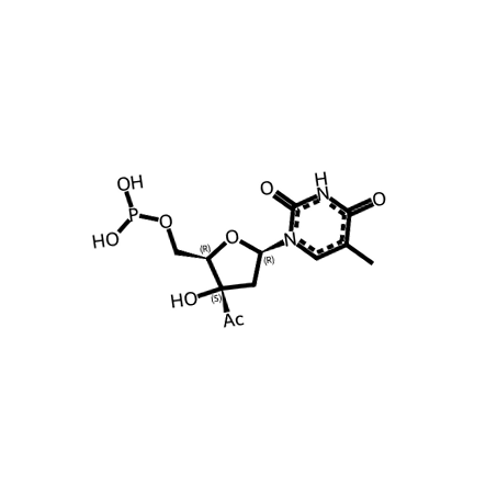 CC(=O)[C@]1(O)C[C@H](n2cc(C)c(=O)[nH]c2=O)O[C@@H]1COP(O)O